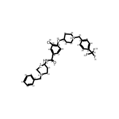 O=C(NC1CCN(Cc2ccccc2)CC1)c1ccc(OC2CCN(Cc3ccc(C(F)(F)F)cc3)CC2)c(Cl)c1